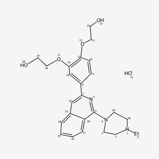 CCN1CCN(c2nc(-c3ccc(OCCO)c(OCCO)c3)cc3ccccc23)CC1.Cl